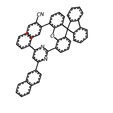 N#Cc1ccccc1-c1cccc2c1Oc1c(-c3nc(-c4ccccc4)cc(-c4ccc5ccccc5c4)n3)cccc1C21c2ccccc2-c2ccccc21